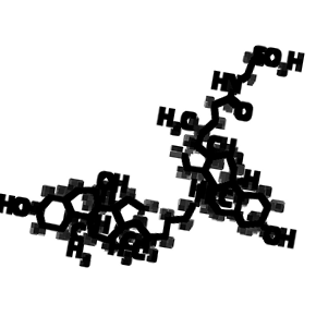 C[C@H](CCC(=O)NCCS(=O)(=O)O)[C@H]1CCC2[C@@H]3[C@@H](CCCC[C@@H](C)[C@H]4CCC5[C@@H]6[C@@H](O)CC7C[C@H](O)CC[C@]7(C)[C@H]6CC[C@@]54C)CC4C[C@H](O)CC[C@]4(C)[C@H]3CC[C@@]21C